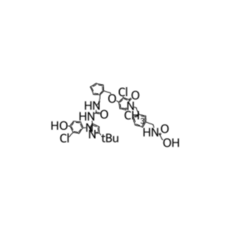 Cc1cc(OCc2ccccc2CNC(=O)Nc2cc(C(C)(C)C)nn2-c2ccc(O)c(Cl)c2)c(Cl)c(=O)n1Cc1cccc(CNC(=O)CO)c1